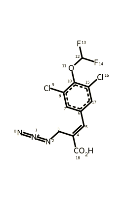 [N-]=[N+]=NCC(=Cc1cc(Cl)c(OC(F)F)c(Cl)c1)C(=O)O